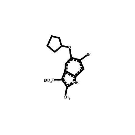 CCOC(=O)c1c(C)[nH]c2cc(Br)c(OC3CCCC3)cc12